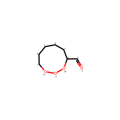 O=[C]C1CCCCCOOO1